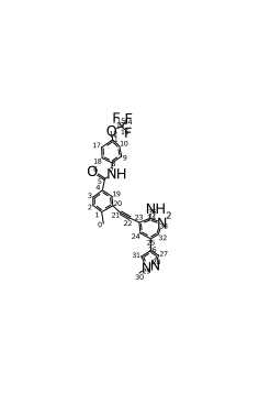 Cc1ccc(C(=O)Nc2ccc(OC(F)(F)F)cc2)cc1C#Cc1cc(-c2cnn(C)c2)cnc1N